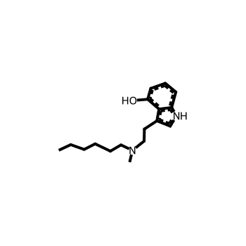 CCCCCCN(C)CCc1c[nH]c2cccc(O)c12